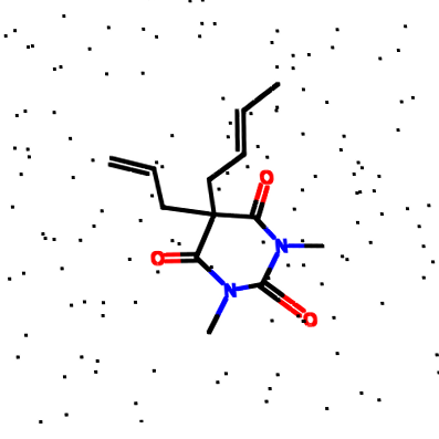 C=CCC1(C/C=C/C)C(=O)N(C)C(=O)N(C)C1=O